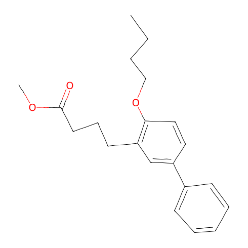 CCCCOc1ccc(-c2ccccc2)cc1CCCC(=O)OC